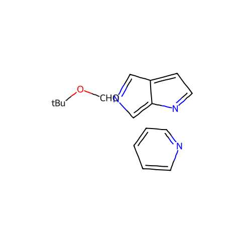 C1=NC=C2N=CC=C12.CC(C)(C)OC=O.c1ccncc1